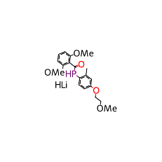 COCCOc1ccc(PC(=O)c2c(OC)cccc2OC)c(C)c1.[LiH]